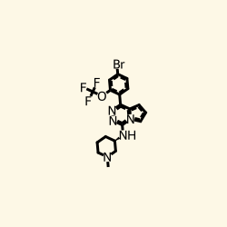 CN1CCC[C@@H](Nc2nnc(-c3ccc(Br)cc3OC(F)(F)F)c3cccn23)C1